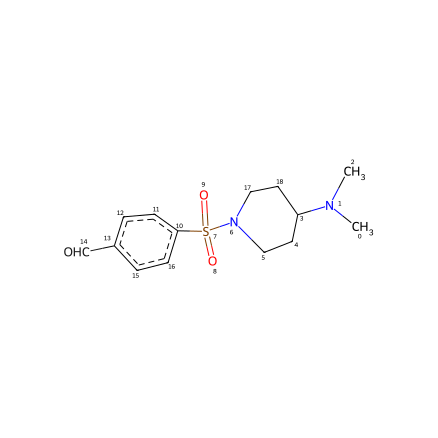 CN(C)C1CCN(S(=O)(=O)c2ccc(C=O)cc2)CC1